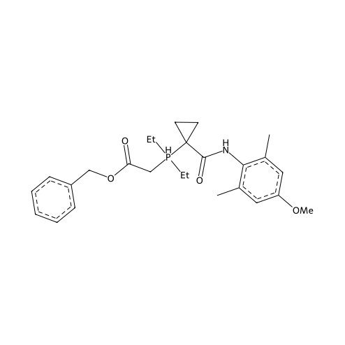 CC[PH](CC)(CC(=O)OCc1ccccc1)C1(C(=O)Nc2c(C)cc(OC)cc2C)CC1